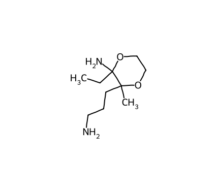 CCC1(N)OCCOC1(C)CCCN